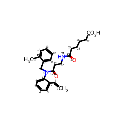 C=Cc1ccccc1N(Cc1ccccc1C)C(=O)CCNC(=O)CCCCC(=O)O